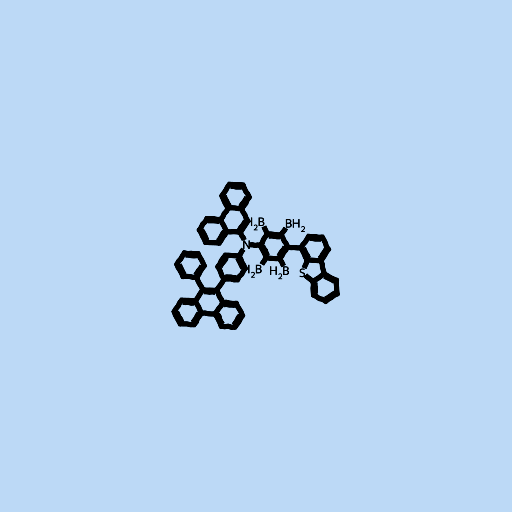 Bc1c(B)c(N(c2ccc(-c3c(-c4ccccc4)c4ccccc4c4ccccc34)cc2)c2cc3ccccc3c3ccccc23)c(B)c(B)c1-c1cccc2c1sc1ccccc12